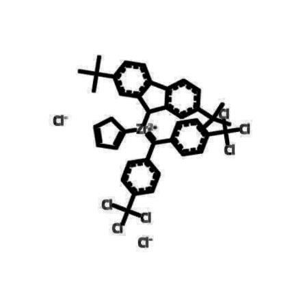 CC(C)(C)c1ccc2c(c1)[CH]([Zr+2]([C]1=CC=CC1)=[C](c1ccc(C(Cl)(Cl)Cl)cc1)c1ccc(C(Cl)(Cl)Cl)cc1)c1cc(C(C)(C)C)ccc1-2.[Cl-].[Cl-]